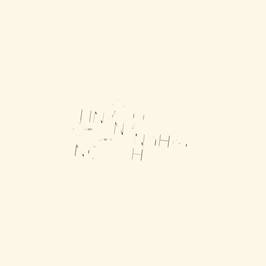 CCCCCCNC(=O)n1cc(C#N)c(=O)[nH]c1=O